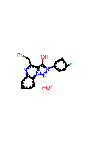 Oc1c2c(CBr)nc3ccccc3[n+]2nn1-c1ccc(F)cc1.[OH-]